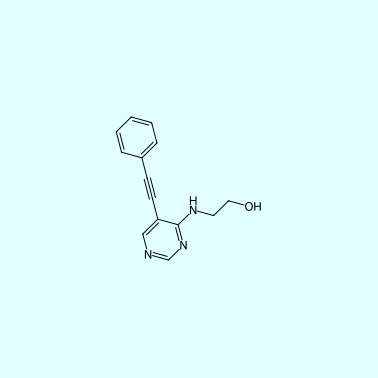 OCCNc1ncncc1C#Cc1ccccc1